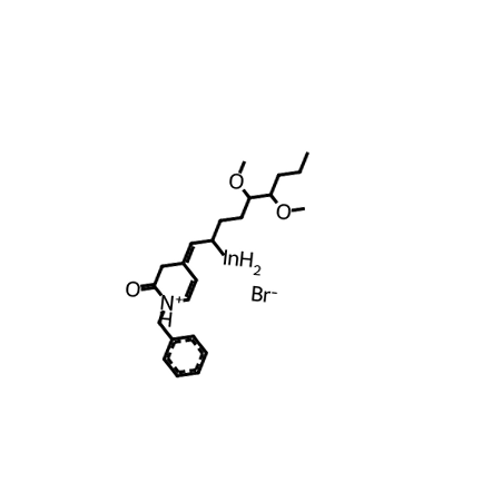 CCCC(OC)C(CC[CH]([InH2])C=C1C=C[NH+](Cc2ccccc2)C(=O)C1)OC.[Br-]